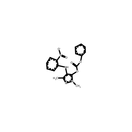 Cc1nn(C)c(OC(=O)Oc2ccccc2)c1Nc1ccccc1[N+](=O)[O-]